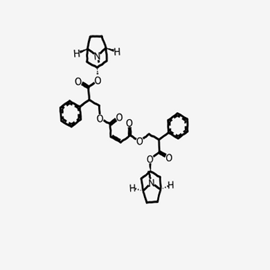 CN1[C@@H]2CC[C@H]1C[C@@H](OC(=O)C(COC(=O)/C=C\C(=O)OCC(C(=O)O[C@H]1C[C@H]3CC[C@@H](C1)N3C)c1ccccc1)c1ccccc1)C2